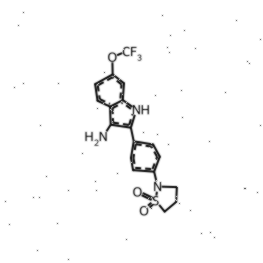 Nc1c(-c2ccc(N3CCCS3(=O)=O)cc2)[nH]c2cc(OC(F)(F)F)ccc12